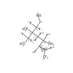 CC(F)(F)C(P)(C(F)(F)CN=O)C(F)(F)C(C)(F)C(C)(F)C(F)C(F)(F)F